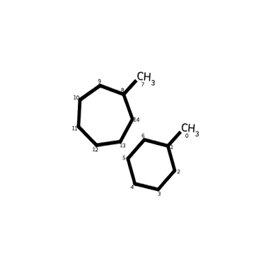 CC1CCCCC1.CC1CCCCCC1